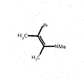 CN/C(C)=C(/C)C(C)C